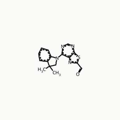 CC1(C)CN(c2ncnc3sc(C=O)nc23)c2ccccc21